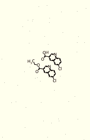 CCOC(=O)c1cnc2ccc(Cl)cc2c1.O=C(O)c1cnc2ccc(Cl)cc2c1